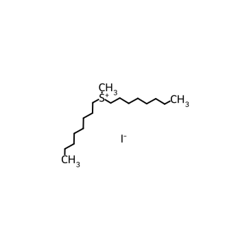 CCCCCCCC[S+](C)CCCCCCCC.[I-]